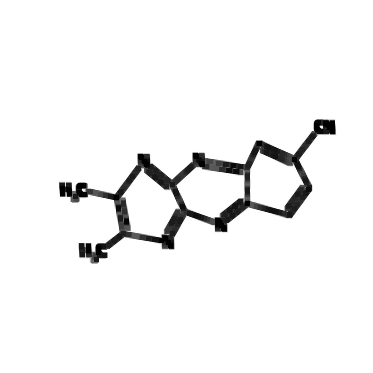 Cc1nc2nc3ccc(C#N)cc3nc2nc1C